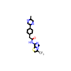 Cc1cnc(-c2ccc(CC(=O)Nc3ncn4c(C(F)(F)F)csc34)cc2)cn1